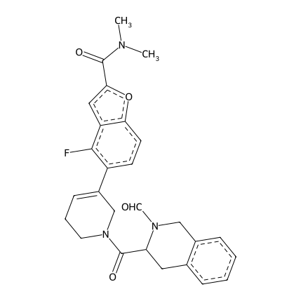 CN(C)C(=O)c1cc2c(F)c(C3=CCCN(C(=O)C4Cc5ccccc5CN4C=O)C3)ccc2o1